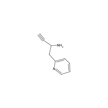 C#CC(N)Cc1ccccn1